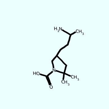 CC(N)CCC1CN(C(=O)O)C(C)(C)C1